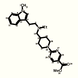 CCN(CCc1cn(C)c2ccccc12)CC1CCN(c2ncc(C(=O)OC)cn2)CC1